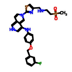 CS(=O)(=O)CCNCc1csc(N2C=CC3=CNC=C(Nc4ccc(OCc5cccc(F)c5)cc4)C3=C2)n1